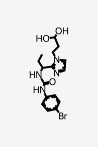 CCC(NC(=O)Nc1ccc(Br)cc1)c1nccn1CCC(O)O